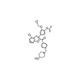 O=C(O[C@@H](Cc1c(Cl)cncc1Cl)c1ccc(OC(F)F)c(OCC2CC2)c1)c1ccc(CN2CCC(O)CC2)cc1